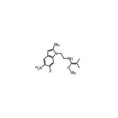 CC(C)=C(NCCn1c(C(C)(C)C)cc2cc(N)c(F)cc21)OC(C)(C)C